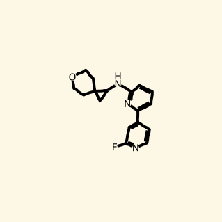 Fc1cc(-c2cccc(NC3CC34CCOCC4)n2)ccn1